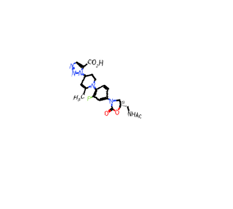 CC(=O)NC[C@H]1CN(c2ccc(N3CCC(n4nncc4C(=O)O)CC3C)c(F)c2)C(=O)O1